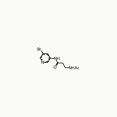 CC(=O)NCCC(=O)Nc1cncc(Br)c1